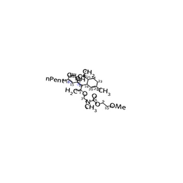 C=C(OCN(C)C(=O)OCCOC)/C(=C(O)\C=C(/C)CCCCC)C1C=C(C)CCC1C(=C)C